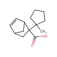 CC1(C2(C(=O)O)CC3C=CC2C3)CCCC1